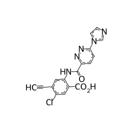 C#Cc1cc(NC(=O)c2ccc(-n3ccnc3)nn2)c(C(=O)O)cc1Cl